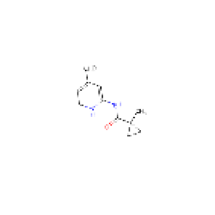 CC1(C(=O)NC2=CC(C=O)=CCN2)CC1